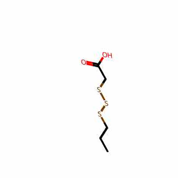 CCCSSSCC(=O)O